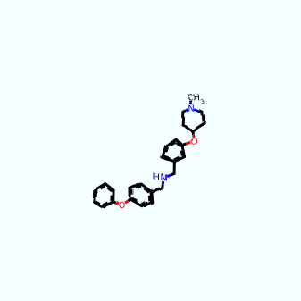 CN1CCC(Oc2cccc(CNCc3ccc(Oc4ccccc4)cc3)c2)CC1